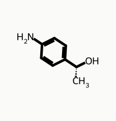 C[C@@H](O)c1ccc(N)cc1